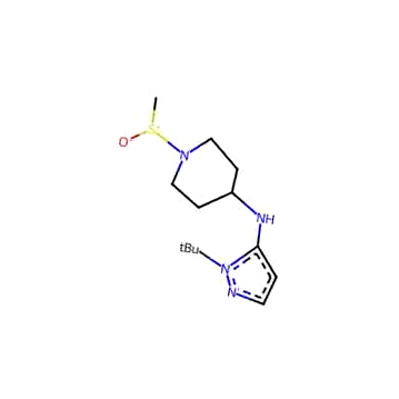 C[S+]([O-])N1CCC(Nc2ccnn2C(C)(C)C)CC1